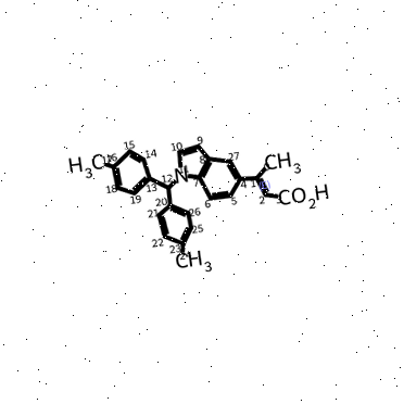 C/C(=C\C(=O)O)c1ccc2c(ccn2C(c2ccc(C)cc2)c2ccc(C)cc2)c1